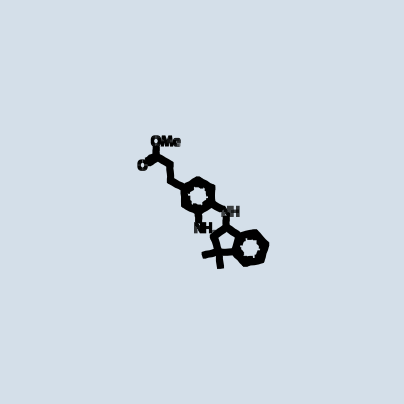 COC(=O)CCc1ccc(NC2CC(C)(C)c3ccccc32)c(N)c1